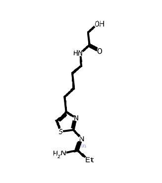 CC/C(N)=N/c1nc(CCCCNC(=O)CO)cs1